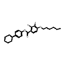 CCCCCCOc1ccc(C(=O)Oc2ccc(C3CC[CH]CC3)cc2)c(F)c1F